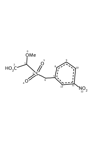 COC(C(=O)O)S(=O)(=O)Cc1cccc([N+](=O)[O-])c1